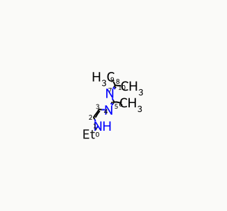 CCN/C=C\N=C(\C)N=C(C)C